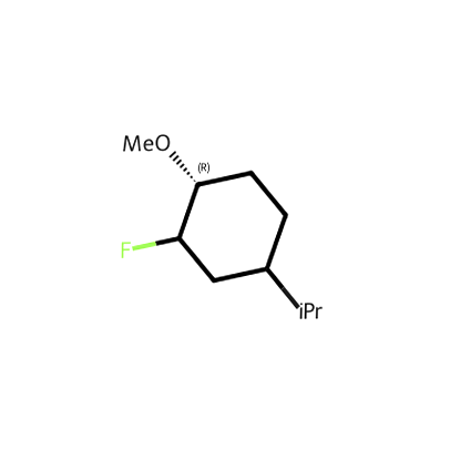 CO[C@@H]1CCC(C(C)C)CC1F